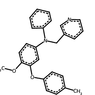 COc1ccc(N(Cc2cccnc2)c2ccccc2)cc1Oc1ccc(C)cc1